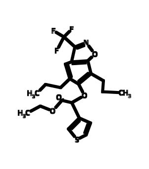 CCCc1cc2c(C(F)(F)F)noc2c(CCC)c1OC(C(=O)OCC)c1ccsc1